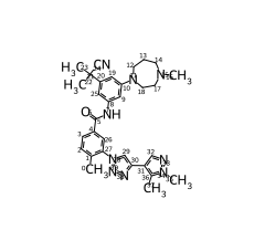 Cc1ccc(C(=O)Nc2cc(N3CCCN(C)CC3)cc(C(C)(C)C#N)c2)cc1-n1cc(-c2cnn(C)c2C)nn1